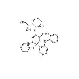 CCCCC(O)[C@@H]1CCCNC1.COC1=CC(Oc2ccccc2)(c2cc(F)ccc2Oc2ccccc2)C(Br)C=C1F